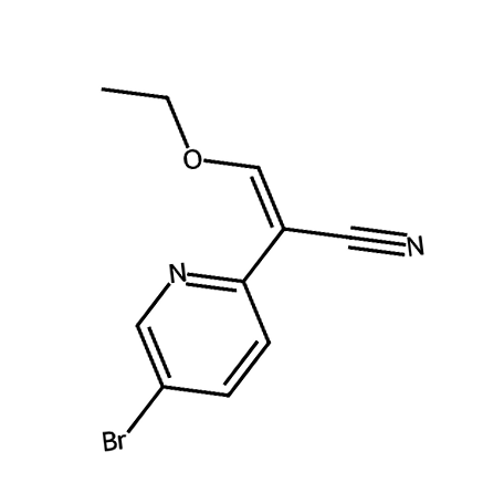 CCO/C=C(/C#N)c1ccc(Br)cn1